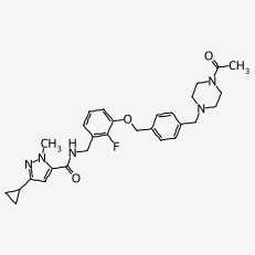 CC(=O)N1CCN(Cc2ccc(COc3cccc(CNC(=O)c4cc(C5CC5)nn4C)c3F)cc2)CC1